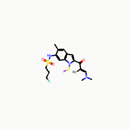 Cc1cc2cc(C(=O)/C(C#N)=C/N(C)C)n(SI)c2cc1NS(=O)(=O)CCCF